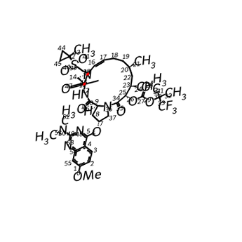 COc1ccc2c(O[C@@H]3C[C@H]4C(=O)N[C@]56C[C@]5(/C=C\CC[C@@H](C)C[C@@H](C)[C@H](OC(=O)OC(C)(C)C(F)(F)F)C(=O)N4C3)N(S(=O)(=O)C3(C)CC3)C6=O)nc(N(C)C)nc2c1